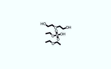 CCOCC.CCOS(=O)(=O)O.OCCOCCO